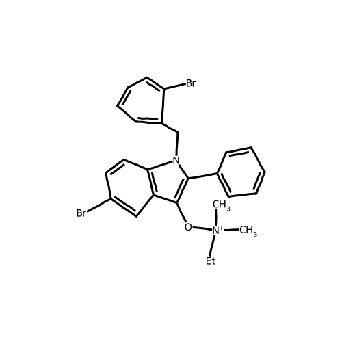 CC[N+](C)(C)Oc1c(-c2ccccc2)n(Cc2ccccc2Br)c2ccc(Br)cc12